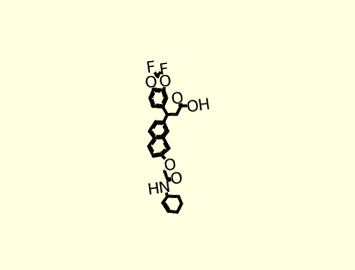 O=C(O)CC(c1ccc2c(c1)OC(F)(F)O2)c1ccc2ccc(OCC(=O)NC3C=CCCC3)cc2c1